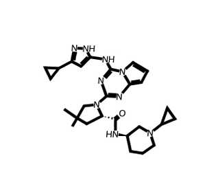 CC1(C)C[C@@H](C(=O)N[C@@H]2CCCN(C3CC3)C2)N(c2nc(Nc3cc(C4CC4)n[nH]3)n3cccc3n2)C1